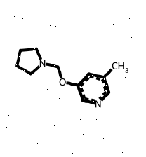 Cc1cncc(OCN2CCCC2)c1